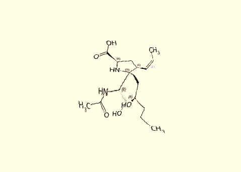 C/C=C\[C@@H]1C[C@H](C(=O)O)N[C@@]1(C[C@H](O)CCC)[C@H](CO)NC(C)=O